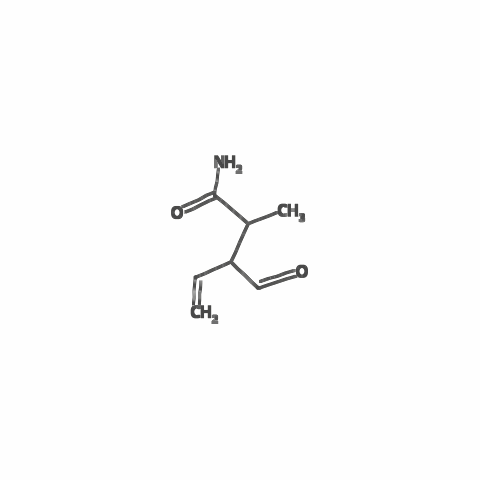 C=CC(C=O)C(C)C(N)=O